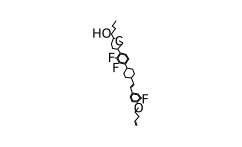 C=CCCOc1ccc(/C=C/C2CCC(c3ccc(C4CCC(C(O)CCC)CC4)c(F)c3F)CC2)cc1F